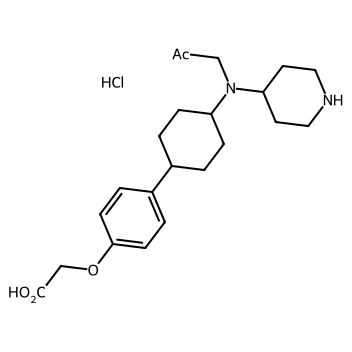 CC(=O)CN(C1CCNCC1)C1CCC(c2ccc(OCC(=O)O)cc2)CC1.Cl